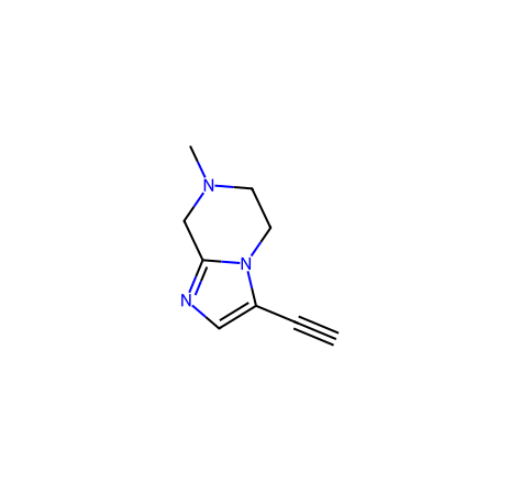 C#Cc1cnc2n1CCN(C)C2